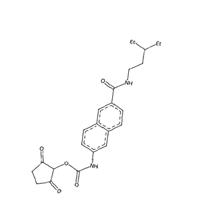 CCC(CC)CCNC(=O)c1ccc2cc(NC(=O)OC3C(=O)CCC3=O)ccc2c1